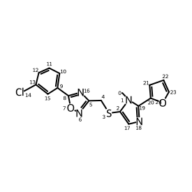 Cn1c(SCc2noc(-c3cccc(Cl)c3)n2)cnc1-c1ccco1